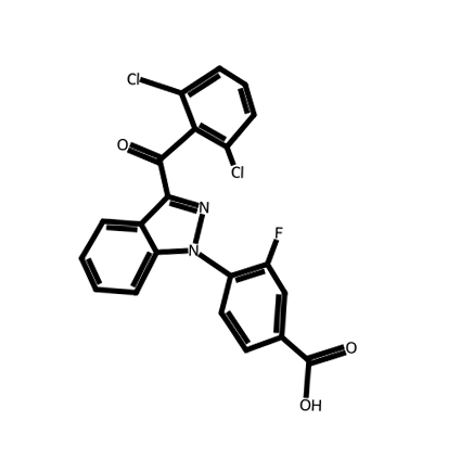 O=C(O)c1ccc(-n2nc(C(=O)c3c(Cl)cccc3Cl)c3ccccc32)c(F)c1